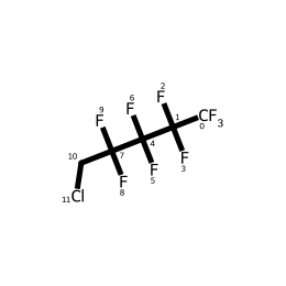 FC(F)(F)C(F)(F)C(F)(F)C(F)(F)CCl